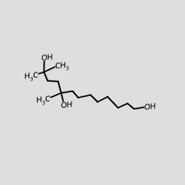 CC(C)(O)CCC(C)(O)CCCCCCCCO